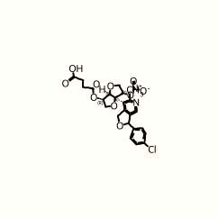 Cc1ncc2c(c1[C@]13OC[C@@H](OC(=O)CCC(=O)O)[C@H]1OC[C@H]3O[N+](=O)[O-])COC2c1ccc(Cl)cc1